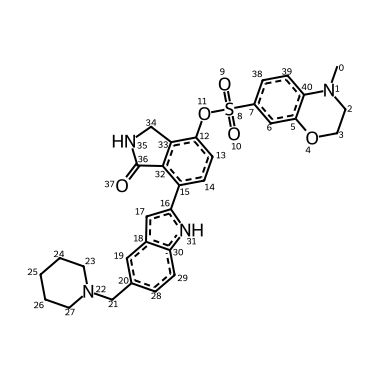 CN1CCOc2cc(S(=O)(=O)Oc3ccc(-c4cc5cc(CN6CCCCC6)ccc5[nH]4)c4c3CNC4=O)ccc21